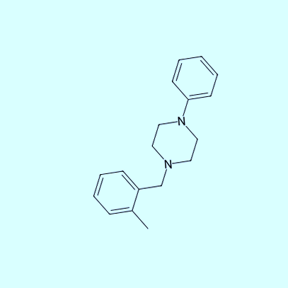 Cc1ccccc1CN1CCN(c2ccccc2)CC1